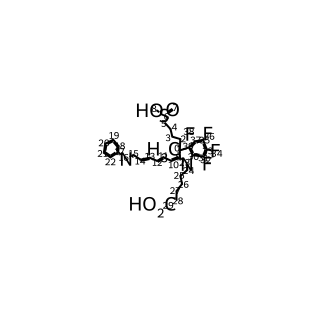 CC1(CCCCS(=O)O)\C(=C/C=C/C=C/C=N/c2ccccc2)N(CCCCCC(=O)O)c2c(F)c(F)c(F)c(F)c21